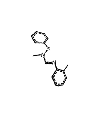 Cc1ccccc1N=CN(C)Sc1ccccc1